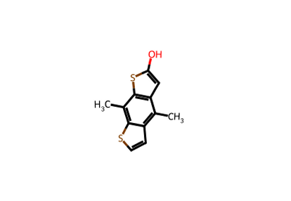 Cc1c2ccsc2c(C)c2sc(O)cc12